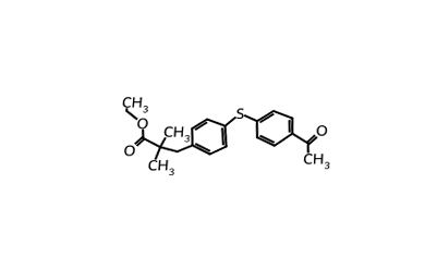 CCOC(=O)C(C)(C)Cc1ccc(Sc2ccc(C(C)=O)cc2)cc1